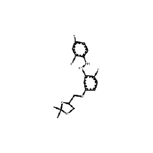 CC1(C)OCC(COc2ccc(F)c(NNc3ccc(F)cc3F)c2)O1